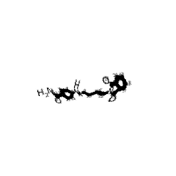 NC(=O)c1ccc(NN=CCCCN2C(=O)c3ccccc3C2=O)cc1